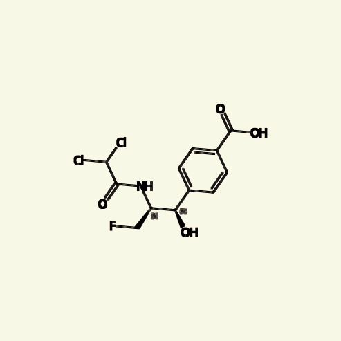 O=C(O)c1ccc([C@@H](O)[C@@H](CF)NC(=O)C(Cl)Cl)cc1